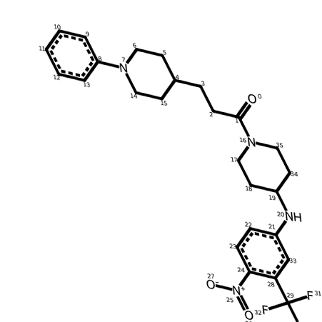 O=C(CCC1CCN(c2ccccc2)CC1)N1CCC(Nc2ccc([N+](=O)[O-])c(C(F)(F)F)c2)CC1